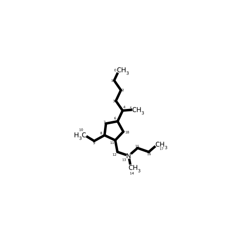 CCCCC(C)C1CC(CC)C(CN(C)CCC)C1